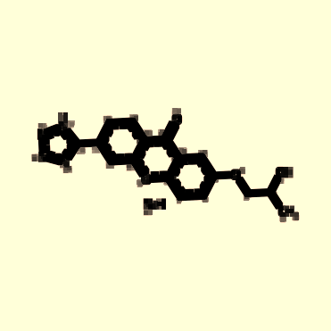 CC(O)COc1ccc2oc3cc(-c4nnn[nH]4)ccc3c(=O)c2c1.[NaH]